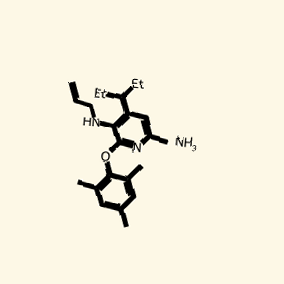 C=CCNc1c(C(CC)CC)cc(C)nc1Oc1c(C)cc(C)cc1C.N